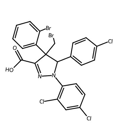 O=C(O)C1=NN(c2ccc(Cl)cc2Cl)C(c2ccc(Cl)cc2)C1(CBr)c1ccccc1Br